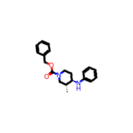 C[C@@H]1CN(C(=O)OCc2ccccc2)CC[C@H]1Nc1ccccc1